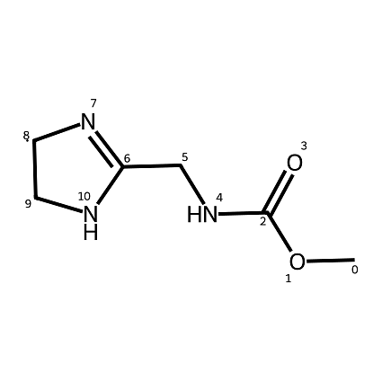 COC(=O)NCC1=N[CH]CN1